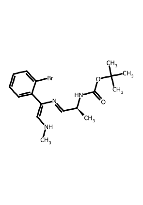 CN/C=C(\N=C\[C@H](C)NC(=O)OC(C)(C)C)c1ccccc1Br